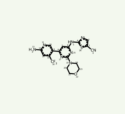 N#Cc1cnc(Nc2cc(-c3cnc(N)cc3C(F)(F)F)nc(N3CCOCC3)n2)s1